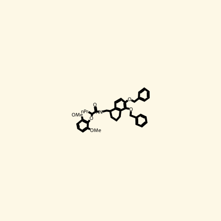 CCCC(Oc1c(OC)cccc1OC)C(=O)NCC1CCCc2c1ccc(OCc1ccccc1)c2OCc1ccccc1